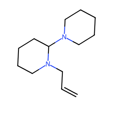 C=CCN1CCCCC1N1CCCCC1